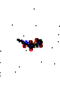 CCCCNC(=O)CCN1C(=O)CC(SC(C)N2C(=O)CCC2=O)C1=O